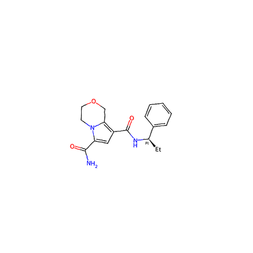 CC[C@@H](NC(=O)c1cc(C(N)=O)n2c1COCC2)c1ccccc1